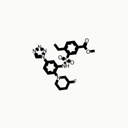 CCc1ccc(C(=O)OC)cc1S(=O)(=O)Nc1cc(-n2cnnn2)ccc1N1CCCC(F)C1